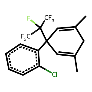 CC1=CC(c2ccccc2Cl)(C(F)(C(F)(F)F)C(F)(F)F)C=C(C)[CH]1